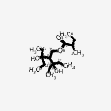 CCC(C)C(=O)OCC(C(O)(CC)CC)C(O)(CC)CC